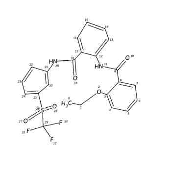 CCOc1ccccc1C(=O)Nc1ccccc1C(=O)Nc1cccc(S(=O)(=O)C(F)(F)F)c1